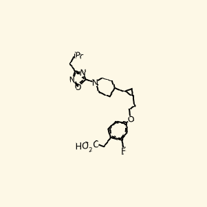 CC(C)Cc1noc(N2CCC(C3CC3CCOc3ccc(CC(=O)O)c(F)c3)CC2)n1